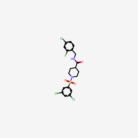 O=C(NCc1ccc(Cl)cc1F)C1CCN(S(=O)(=O)c2cc(Cl)cc(Cl)c2)CC1